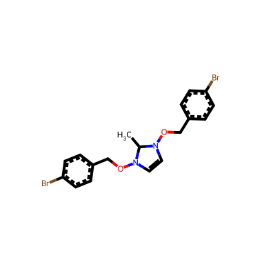 CC1N(OCc2ccc(Br)cc2)C=CN1OCc1ccc(Br)cc1